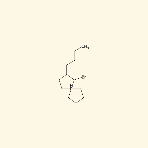 CCCCC1CC[PH]2(CCCC2)C1Br